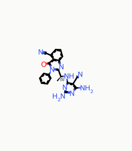 C[C@H](Nc1nc(N)nc(N)c1C#N)c1nc2cccc(C#N)c2c(=O)n1-c1ccccc1